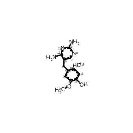 COc1cc(Cc2cnc(N)nc2N)ccc1O.Cl